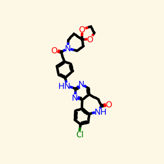 O=C1Cc2cnc(Nc3ccc(C(=O)N4CCC5(CC4)OCCO5)cc3)nc2-c2ccc(Cl)cc2N1